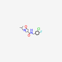 CC(C)CN1CC(C(=O)NCc2ccc(F)c(Cl)c2)CC1=O